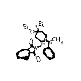 CCOC1(OCC)CCN([C@@H](C)c2ccccc2)[C@@H](CN2C(=O)c3ccccc3C2=O)C1